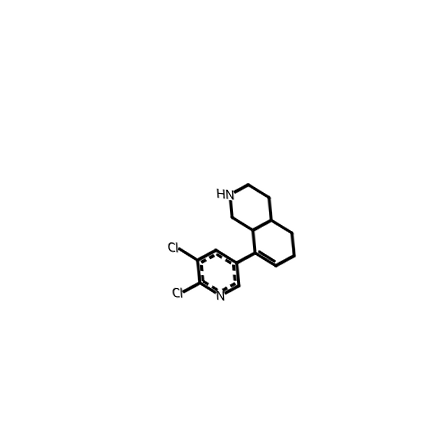 Clc1cc(C2=CCCC3CCNCC23)cnc1Cl